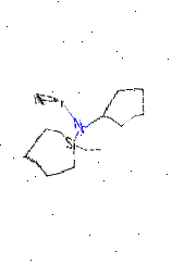 CC(C)N(C1CCCC1)[Si]1(C)CCCC1